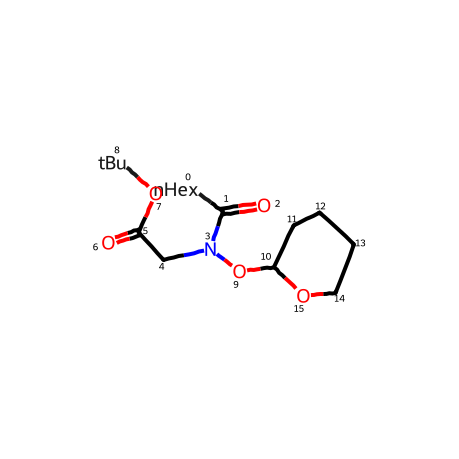 CCCCCCC(=O)N(CC(=O)OC(C)(C)C)OC1CCCCO1